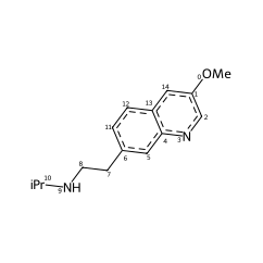 COc1cnc2cc(CCNC(C)C)ccc2c1